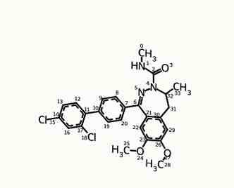 CNC(=O)N1N=C(c2ccc(-c3ccc(Cl)cc3Cl)cc2)c2cc(OC)c(OC)cc2CC1C